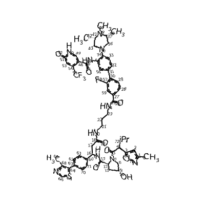 Cc1cc(C(C(=O)N2C[C@H](O)C[C@H]2C(=O)NC(CC(=O)NCCCNC(=O)c2ccc(-c3ccc(N4C[C@@H](C)N(C)[C@@H](C)C4)c(NC(=O)c4c[nH]c(=O)cc4C(F)(F)F)c3)c(F)c2)c2ccc(-c3scnc3C)cc2)C(C)C)on1